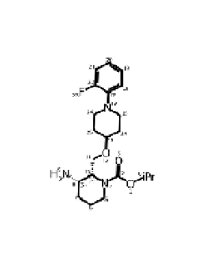 CC(C)OC(=O)N1CCC[C@H](N)[C@@H]1COC1CCN(c2ccccc2F)CC1